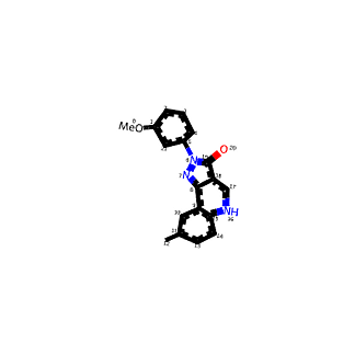 COc1cccc(-n2nc3c4cc(C)ccc4[nH]cc-3c2=O)c1